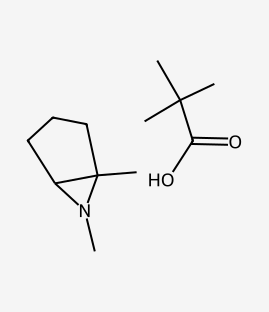 CC(C)(C)C(=O)O.CN1C2CCCC21C